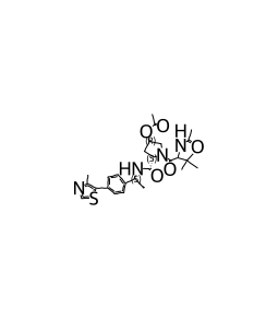 CC(=O)NC(C(=O)N1C[C@H](OC(C)=O)C[C@H]1C(=O)N[C@@H](C)c1ccc(-c2scnc2C)cc1)C(C)(C)C